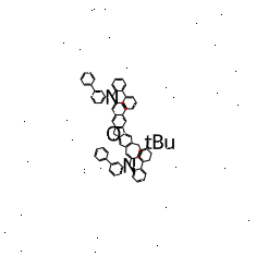 CC(C)(C)C1=CC=C(c2ccccc2N(C2=Cc3cc4oc5cc6cc(N(c7cccc(-c8ccccc8)c7)c7ccccc7C7=CC=CCC7)c#cc6cc5c4cc3CC#C2)c2cccc(-c3ccccc3)c2)CC1